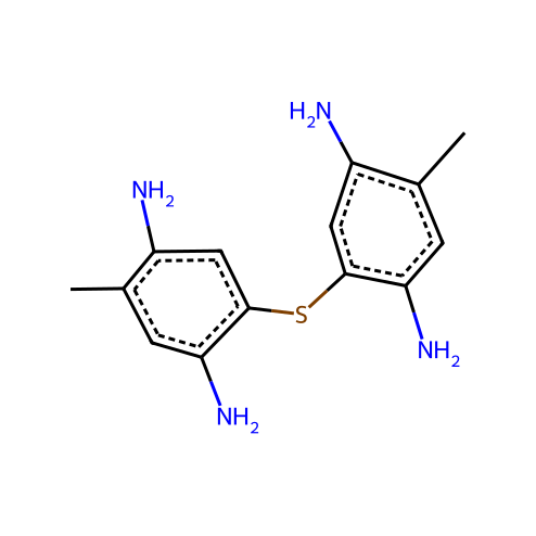 Cc1cc(N)c(Sc2cc(N)c(C)cc2N)cc1N